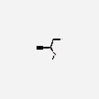 C#CC(C[CH2])SC